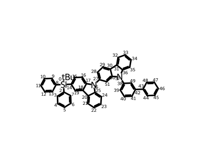 CC(C)(C)[Si](c1ccccc1)(c1ccccc1)c1ccc2c(c1)c1ccccc1n2-c1ccc2c3ccccc3n(-c3cccc(-c4ccccc4)c3)c2c1